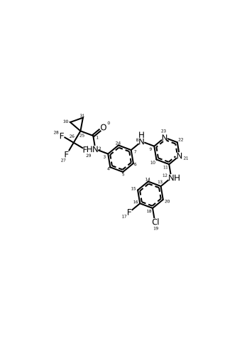 O=C(Nc1cccc(Nc2cc(Nc3ccc(F)c(Cl)c3)ncn2)c1)C1(C(F)(F)F)CC1